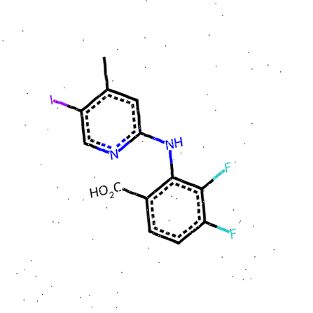 Cc1cc(Nc2c(C(=O)O)ccc(F)c2F)ncc1I